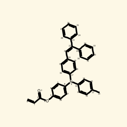 C=CC(=O)Oc1ccc(N(c2ccc(C)cc2)c2ccc(C=C(c3ccccc3)c3ccccc3)cc2)cc1